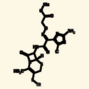 CCSC1=C(C(=O)O)N2C(=O)C(NC(=O)C(=NOCC(=O)OC(C)(C)C)c3nc(N)sc3Cl)[C@@H]2SC1